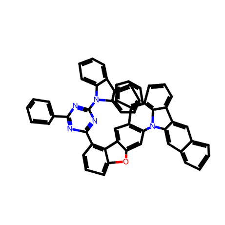 c1ccc(-c2nc(-c3cccc4oc5cc(-n6c7ccccc7c7cc8ccccc8cc76)c(-c6ccccc6)cc5c34)nc(-n3c4ccccc4c4ccccc43)n2)cc1